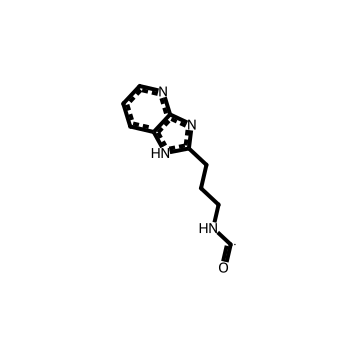 O=[C]NCCCc1nc2ncccc2[nH]1